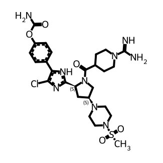 CS(=O)(=O)N1CCN([C@H]2C[C@@H](c3nc(Cl)c(-c4ccc(OC(N)=O)cc4)[nH]3)N(C(=O)C3CCN(C(=N)N)CC3)C2)CC1